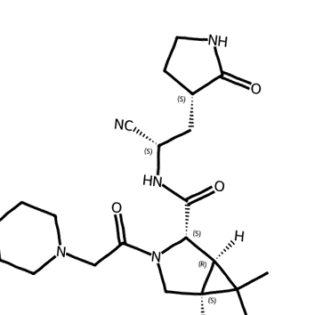 CC1(C)[C@@H]2[C@@H](C(=O)N[C@H](C#N)C[C@@H]3CCNC3=O)N(C(=O)CN3CCCCC3)C[C@@H]21